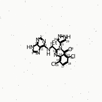 CC[C@H](Nc1ncnc2[nH]cnc12)c1nc2c(Cl)ccc(Cl)c2c(=O)n1-c1cn[nH]c1